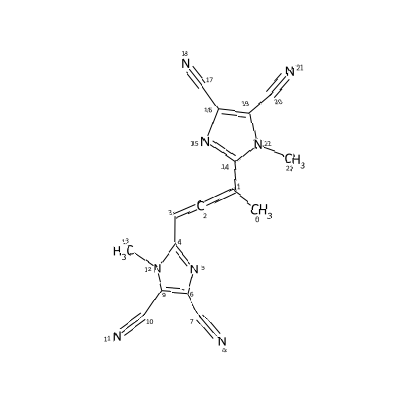 CC(=C=Cc1nc(C#N)c(C#N)n1C)c1nc(C#N)c(C#N)n1C